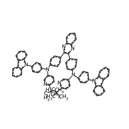 CC(C)(C)c1ccc(N(c2ccc(-c3nc4ccccc4nc3-c3ccc(N(c4ccc(-n5c6ccccc6c6ccccc65)cc4)c4ccc(C(C)(C)C)nc4)cc3)cc2)c2ccc(-n3c4ccccc4c4ccccc43)cc2)cn1